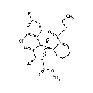 CCOC(=O)C1=CCCC[C@H]1S(=O)(=O)N(C(=O)[C@H](C)CC(=O)OC)c1ccc(F)cc1Cl